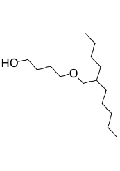 CCCCCC(CCCC)COCCCCO